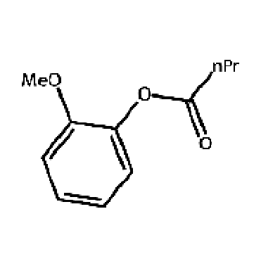 CCCC(=O)Oc1ccccc1OC